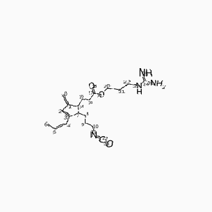 C=C1C=C(/C=C\C)C(CCCN=C=O)C1CCC(=O)OCCCNC(=N)N